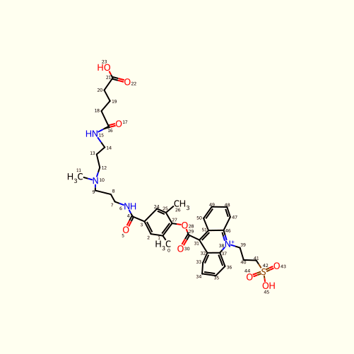 Cc1cc(C(=O)NCCCN(C)CCCNC(=O)CCCC(=O)O)cc(C)c1OC(=O)c1c2ccccc2[n+](CCCS(=O)(=O)O)c2ccccc12